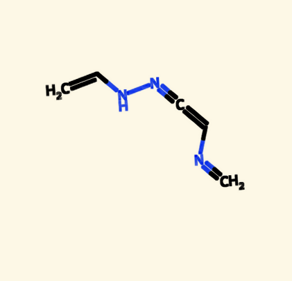 C=CNN=C=CN=C